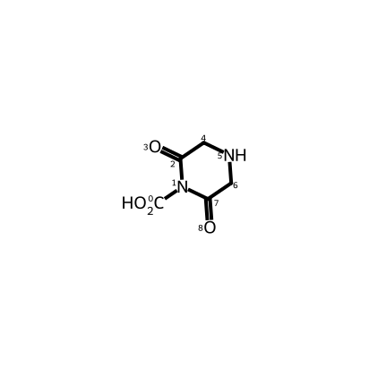 O=C(O)N1C(=O)CNCC1=O